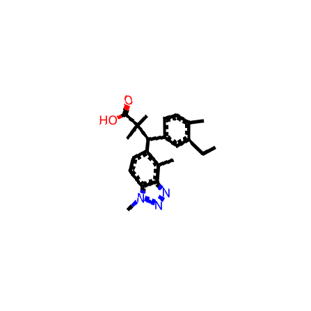 CCc1cc(C(c2ccc3c(nnn3C)c2C)C(C)(C)C(=O)O)ccc1C